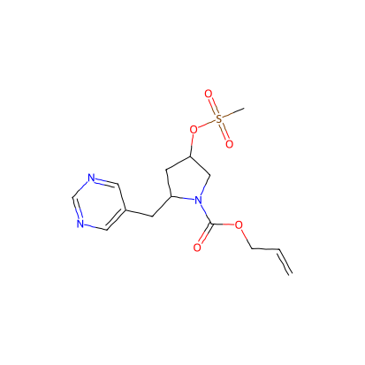 C=CCOC(=O)N1CC(OS(C)(=O)=O)CC1Cc1cncnc1